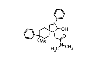 CN[C@]1(c2ccccc2)CC[C@]2(CC1)CN(c1ccccc1)C(O)N2CC(=O)N(C)C